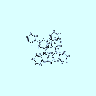 c1ccc(-c2cc(-c3ccccc3)nc(-n3c4ccccc4c4sc5c6ccccc6n(-c6ccccc6)c5c43)n2)cc1